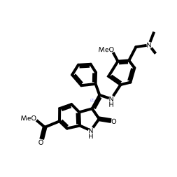 COC(=O)c1ccc2c(c1)NC(=O)/C2=C(\Nc1ccc(CN(C)C)c(OC)c1)c1ccccc1